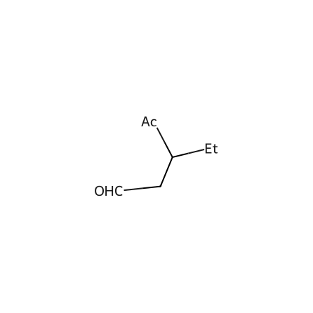 CCC(CC=O)C(C)=O